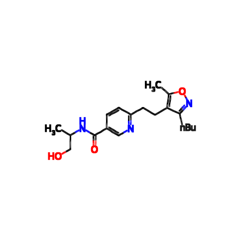 CCCCc1noc(C)c1CCc1ccc(C(=O)NC(C)CO)cn1